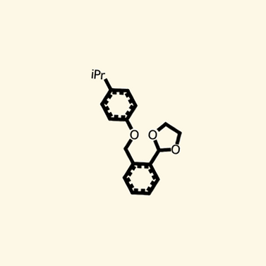 CC(C)c1ccc(OCc2ccccc2C2OCCO2)cc1